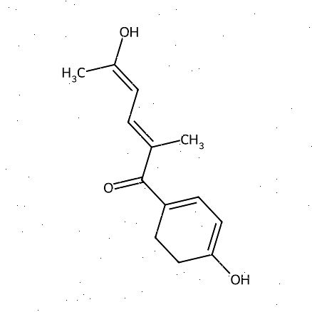 C/C(O)=C\C=C(/C)C(=O)C1=CC=C(O)CC1